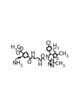 COC(=O)c1ccc(C(=O)NCCNC(=O)C[C@@H]2N=C(c3ccc(Cl)cc3)c3c(sc(C)c3C)-n3c(C)nnc32)cc1C#CCN